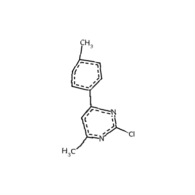 Cc1ccc(-c2cc(C)nc(Cl)n2)cc1